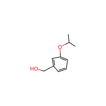 CC(C)Oc1cccc(CO)c1